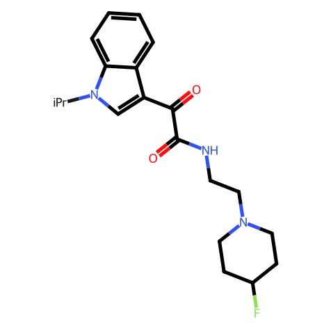 CC(C)n1cc(C(=O)C(=O)NCCN2CCC(F)CC2)c2ccccc21